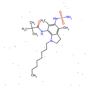 CCCCCCCCN1CCc2c(C)c(NS(N)(=O)=O)c(C)c(NC(=O)C(C)(C)C)c21